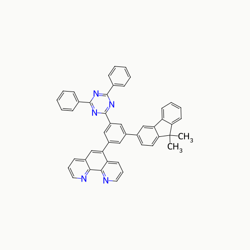 CC1(C)c2ccccc2-c2cc(-c3cc(-c4nc(-c5ccccc5)nc(-c5ccccc5)n4)cc(-c4cc5cccnc5c5ncccc45)c3)ccc21